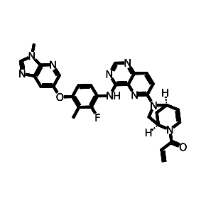 C=CC(=O)N1C=C[C@H]2C[C@@H]1CN2c1ccc2ncnc(Nc3ccc(Oc4cnc5c(c4)ncn5C)c(C)c3F)c2n1